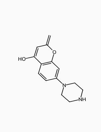 C=C1C=C(O)c2ccc(N3CCNCC3)cc2O1